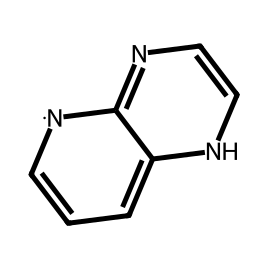 C1=C[N]C2=NC=CNC2=C1